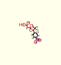 CC(C)(C)C(OC(=O)CC(=O)O)c1ccc([N+](=O)[O-])cc1